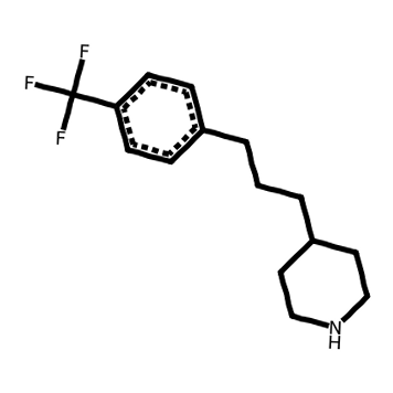 FC(F)(F)c1ccc(CCCC2CCNCC2)cc1